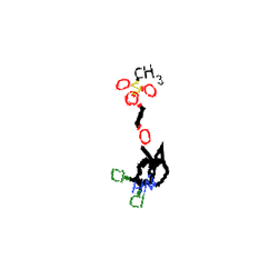 CS(=O)(=O)OCCOCC12CNCCC1(c1ccc(Cl)c(Cl)c1)C2